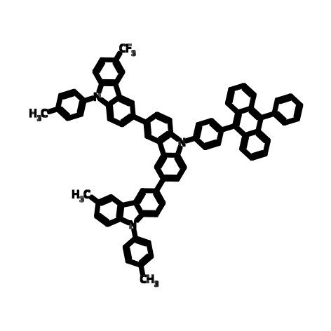 Cc1ccc(-n2c3ccc(C)cc3c3cc(-c4ccc5c(c4)c4cc(-c6ccc7c(c6)c6cc(C(F)(F)F)ccc6n7-c6ccc(C)cc6)ccc4n5-c4ccc(-c5c6ccccc6c(-c6ccccc6)c6ccccc56)cc4)ccc32)cc1